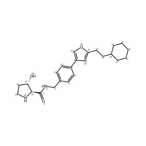 O=C(NCc1ccc(-c2noc(CCC3CCCCC3)n2)cc1)[C@H]1NCC[C@@H]1O